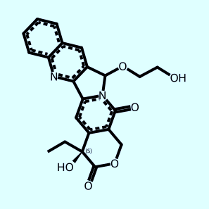 CC[C@@]1(O)C(=O)OCc2c1cc1n(c2=O)C(OCCO)c2cc3ccccc3nc2-1